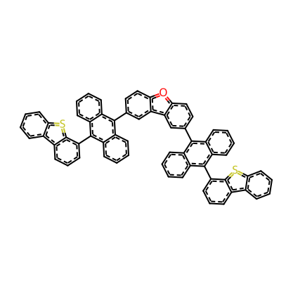 c1ccc2c(c1)sc1c(-c3c4ccccc4c(-c4ccc5oc6ccc(-c7c8ccccc8c(-c8cccc9c8sc8ccccc89)c8ccccc78)cc6c5c4)c4ccccc34)cccc12